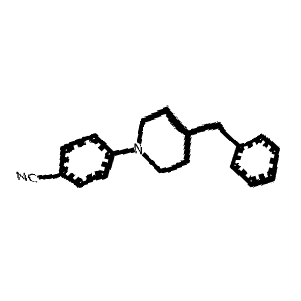 N#Cc1ccc(N2CCC(Cc3ccccc3)CC2)cc1